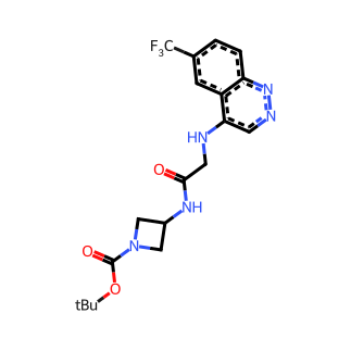 CC(C)(C)OC(=O)N1CC(NC(=O)CNc2cnnc3ccc(C(F)(F)F)cc23)C1